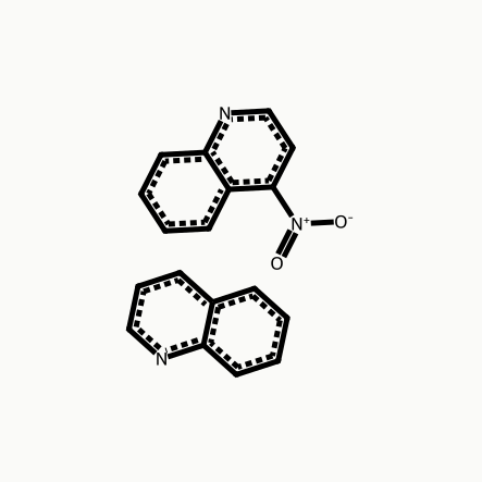 O=[N+]([O-])c1ccnc2ccccc12.c1ccc2ncccc2c1